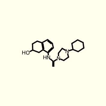 C=C(Nc1cccc2c1CC(O)CC2)N1CCN(C2CCCCC2)CC1